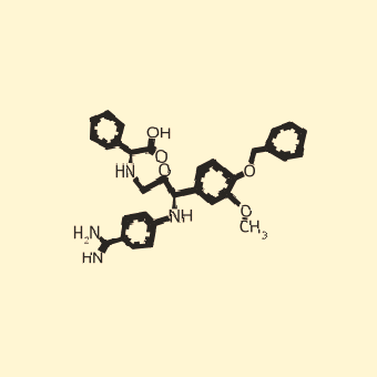 COc1cc([C@@H](Nc2ccc(C(=N)N)cc2)C(=O)CN[C@H](C(=O)O)c2ccccc2)ccc1OCc1ccccc1